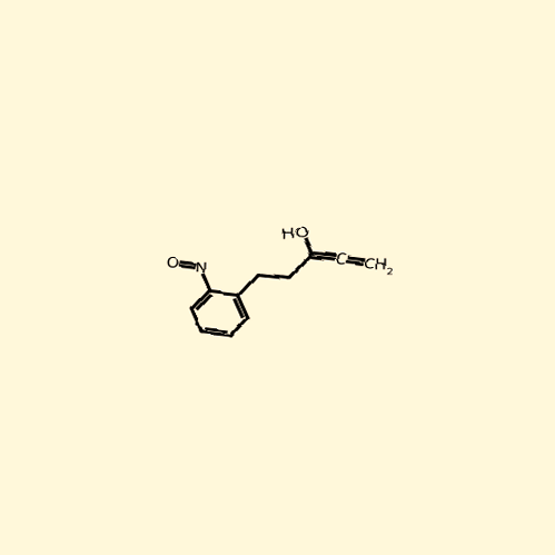 C=C=C(O)CCc1ccccc1N=O